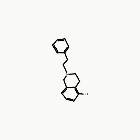 Oc1cccc2c1CCN(CCc1ccccc1)C2